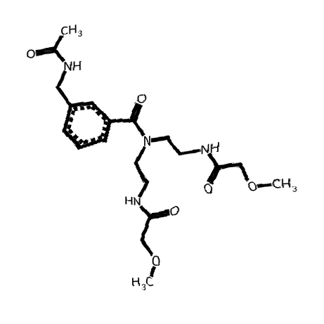 COCC(=O)NCCN(CCNC(=O)COC)C(=O)c1cccc(CNC(C)=O)c1